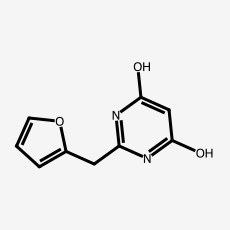 Oc1cc(O)nc(Cc2ccco2)n1